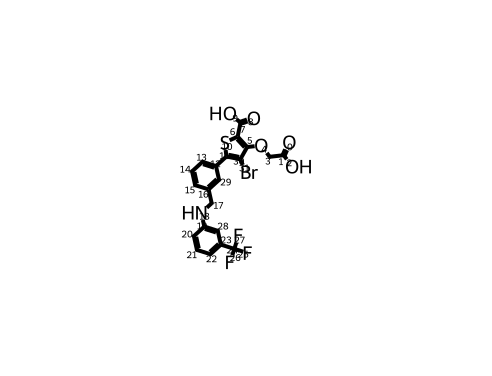 O=C(O)COc1c(C(=O)O)sc(-c2cccc(CNc3cccc(C(F)(F)F)c3)c2)c1Br